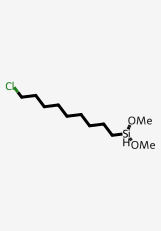 CO[SiH](CCCCCCCCCCl)OC